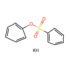 O=S(=O)(Oc1ccccc1)c1ccccc1.[KH]